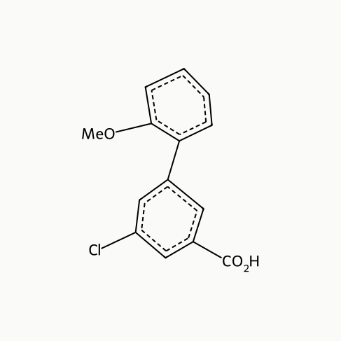 COc1ccccc1-c1cc(Cl)cc(C(=O)O)c1